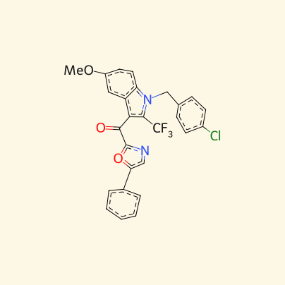 COc1ccc2c(c1)c(C(=O)c1ncc(-c3ccccc3)o1)c(C(F)(F)F)n2Cc1ccc(Cl)cc1